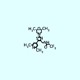 Cc1cc(-c2sc(N3C[C@@H](C)O[C@@H](C)C3)nc2CNC(=O)CC(F)(F)F)cc(C)n1